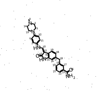 CN1CCN(c2ccc(NC=C3C(=O)Nc4cc(Cc5cccc(C(N)=O)c5)ccc43)cc2)CC1